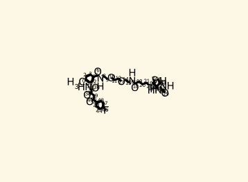 Cc1ccc(C(=O)NCCOCCOCCNC(=O)CCCC[C@@H]2SC[C@@H]3NC(=O)N[C@@H]32)cc1NC(=O)C(=O)CC(=O)c1ccc(F)cc1